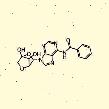 O=C(Nc1ncnc2c1ncn2C1OC2(O)COC1C2O)c1ccccc1